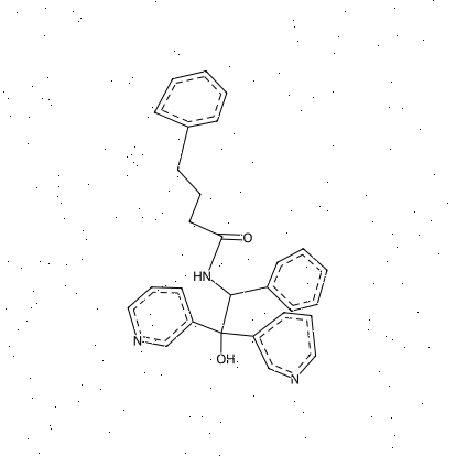 O=C(CCCc1ccccc1)NC(c1ccccc1)C(O)(c1cccnc1)c1cccnc1